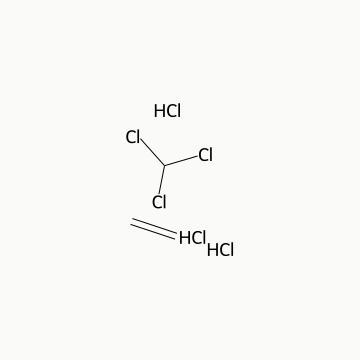 C=C.Cl.Cl.Cl.ClC(Cl)Cl